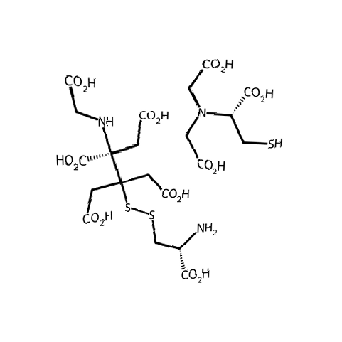 N[C@@H](CSSC(CC(=O)O)(CC(=O)O)[C@](CC(=O)O)(NCC(=O)O)C(=O)O)C(=O)O.O=C(O)CN(CC(=O)O)[C@@H](CS)C(=O)O